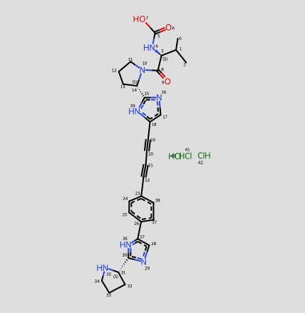 CC(C)[C@H](NC(=O)O)C(=O)N1CCC[C@H]1c1ncc(C#CC#Cc2ccc(-c3cnc([C@@H]4CCCN4)[nH]3)cc2)[nH]1.Cl.Cl.Cl